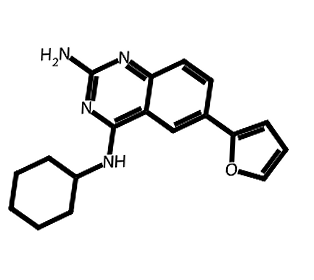 Nc1nc(NC2CCCCC2)c2cc(-c3ccco3)ccc2n1